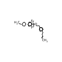 C=C[C@H]1CC[C@H](c2cc(F)c(C(F)(F)OCCc3ccc(CC/C=C/C)cc3)c(F)c2)CC1